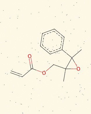 C=CC(=O)OCC1(C)OC1(C)c1ccccc1